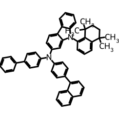 CC1(C)CCC(C)(C)c2c(-n3c4ccccc4c4ccc(N(c5ccc(-c6ccccc6)cc5)c5ccc(-c6cccc7ccccc67)cc5)cc43)cccc21